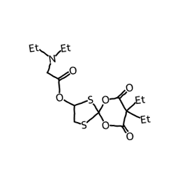 CCN(CC)CC(=O)OC1CSC2(OC(=O)C(CC)(CC)C(=O)O2)S1